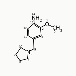 COc1cc(CN2CCCC2)ccc1N